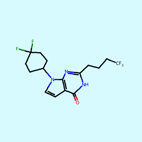 O=c1[nH]c(CCCC(F)(F)F)nc2c1ccn2C1CCC(F)(F)CC1